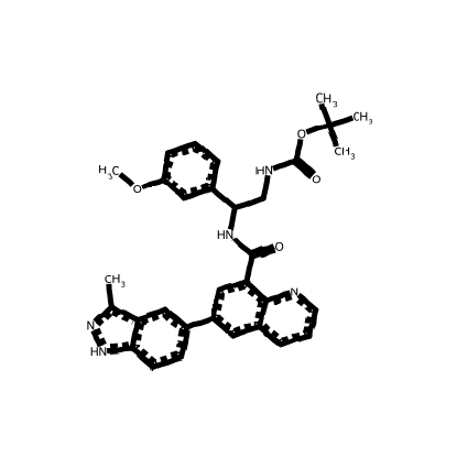 COc1cccc(C(CNC(=O)OC(C)(C)C)NC(=O)c2cc(-c3ccc4[nH]nc(C)c4c3)cc3cccnc23)c1